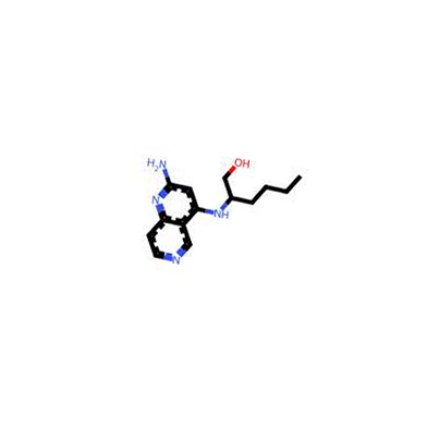 CCCCC(CO)Nc1cc(N)nc2ccncc12